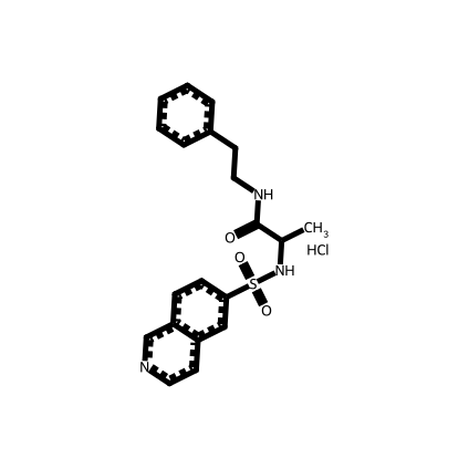 CC(NS(=O)(=O)c1ccc2cnccc2c1)C(=O)NCCc1ccccc1.Cl